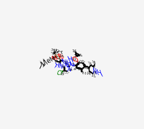 CN/C=C(/Nc1nc(Nc2cc(C)c(C3CCNC(C)C3)cc2OC2CC2)ncc1Cl)C(=N)S(=O)(=O)CC(C)C